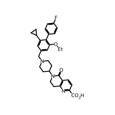 CCOc1cc(CN2CCC(N3CCc4nc(C(=O)O)ccc4C3=O)CC2)cc(C2CC2)c1-c1ccc(F)cc1